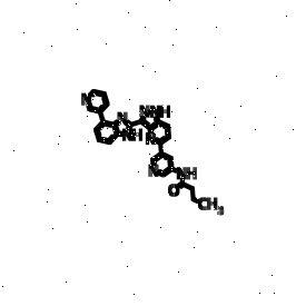 CCCC(=O)Nc1cncc(-c2ccc3[nH]nc(-c4nc5c(-c6cccnc6)cccc5[nH]4)c3n2)c1